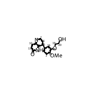 COc1ccc(-c2ccnc3ccc(=O)[nH]c23)cc1OCCO